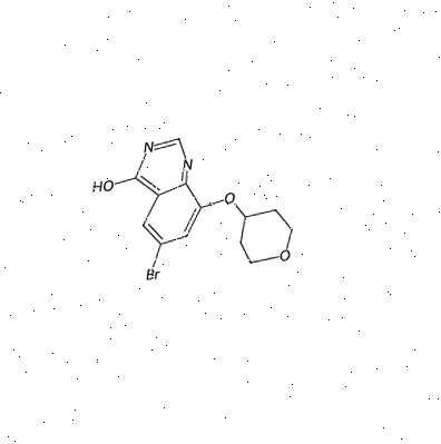 Oc1ncnc2c(OC3CCOCC3)cc(Br)cc12